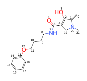 C=C1C(O)=C(C(=O)NCCCCOc2ccccc2)CN1C